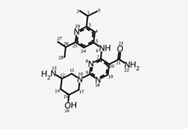 CC(C)c1cc(Nc2nc(N3CC(N)CC(O)C3)ncc2C(N)=O)cc(C(C)C)n1